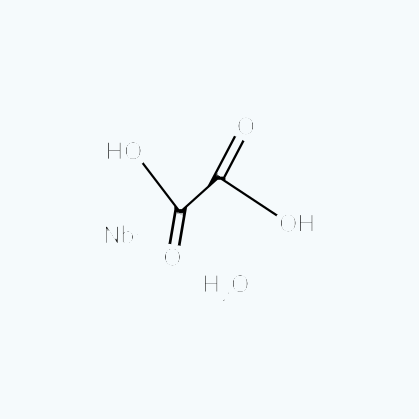 O.O=C(O)C(=O)O.[Nb]